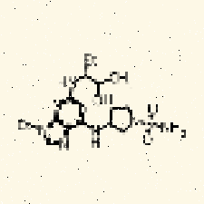 CC[C@H](Nc1nc(N[C@H]2CCN(S(N)(=O)=O)C2)c2ncn(CC)c2n1)[C@@H](C)O